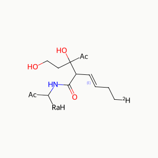 [2H]CC/C=C/C(C(=O)N[CH]([RaH])C(C)=O)C(O)(CCO)C(C)=O